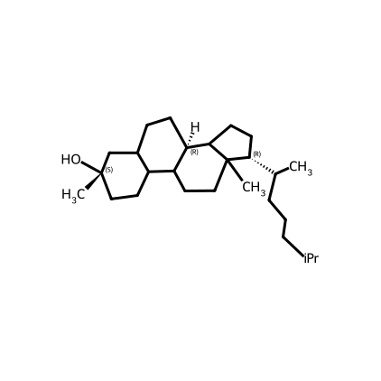 CC(C)CCCC(C)[C@H]1CCC2[C@@H]3CCC4C[C@@](C)(O)CCC4C3CCC21C